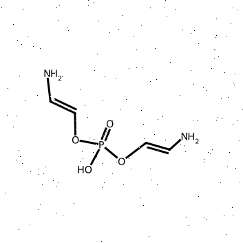 NC=COP(=O)(O)OC=CN